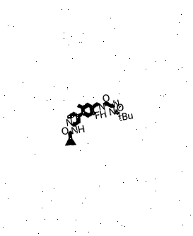 Cc1cc(CNC(=O)c2noc(C(C)(C)C)n2)c(F)cc1-c1ccnc(NC(=O)C2CC2)c1